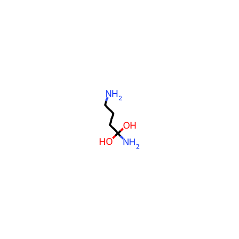 NCCCC(N)(O)O